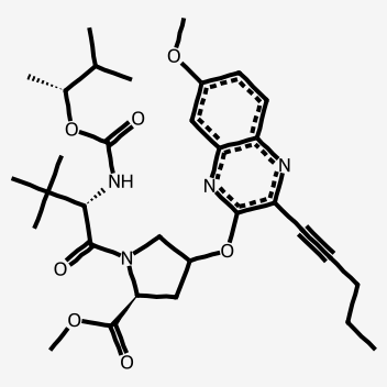 CCCC#Cc1nc2ccc(OC)cc2nc1OC1C[C@@H](C(=O)OC)N(C(=O)[C@@H](NC(=O)O[C@H](C)C(C)C)C(C)(C)C)C1